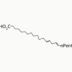 CCCCCC=CCC=CCCCCCCCCCCCC(=O)O